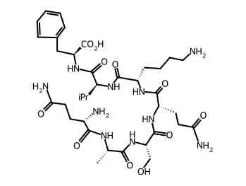 CC(C)[C@H](NC(=O)[C@H](CCCCN)NC(=O)[C@H](CCC(N)=O)NC(=O)[C@H](CO)NC(=O)[C@H](C)NC(=O)[C@@H](N)CCC(N)=O)C(=O)N[C@@H](Cc1ccccc1)C(=O)O